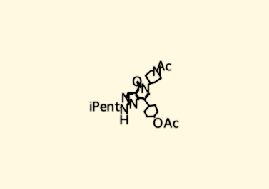 CCCC(C)Nc1ncc2c(=O)n(C3CCN(C(C)=O)CC3)cc(C3CCC(OC(C)=O)CC3)c2n1